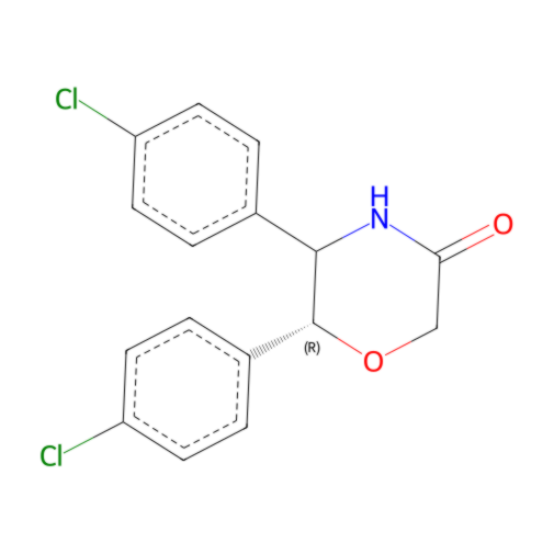 O=C1CO[C@H](c2ccc(Cl)cc2)C(c2ccc(Cl)cc2)N1